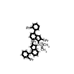 CCCC1=Cc2c(-c3ccccc3C(C)C)cccc2[CH]1[Zr]([CH]1C(CCC)=Cc2c(-c3ccccc3C(C)C)cccc21)[SiH](C)C